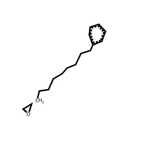 C1CO1.CCCCCCCCCc1ccccc1